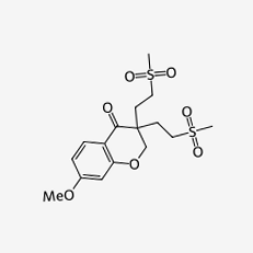 COc1ccc2c(c1)OCC(CCS(C)(=O)=O)(CCS(C)(=O)=O)C2=O